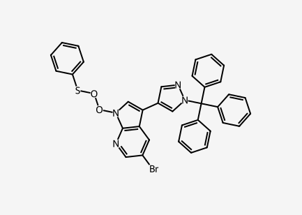 Brc1cnc2c(c1)c(-c1cnn(C(c3ccccc3)(c3ccccc3)c3ccccc3)c1)cn2OOSc1ccccc1